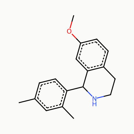 COc1ccc2c(c1)C(c1ccc(C)cc1C)NCC2